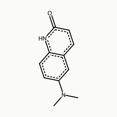 CN(C)c1ccc2[nH]c(=O)ccc2c1